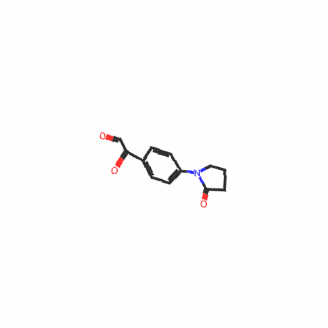 O=CC(=O)c1ccc(N2CCCC2=O)cc1